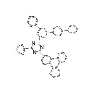 c1ccc(-c2ccc(-c3cc(-c4ccccc4)cc(-c4nc(-c5ccccc5)nc(-c5ccc6c7ccccc7c7ccccc7c6c5)n4)c3)cc2)cc1